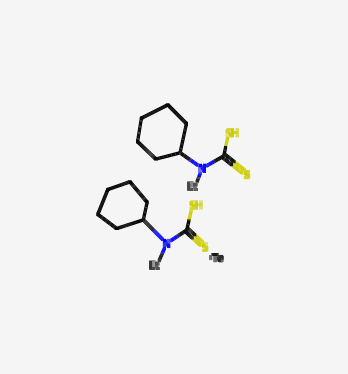 CCN(C(=S)S)C1CCCCC1.CCN(C(=S)S)C1CCCCC1.[Te]